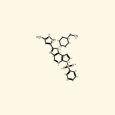 Cc1cc(-c2nc3cnc4c(ccn4S(=O)(=O)c4ccccc4)c3n2[C@H]2CC[C@H](CC#N)CC2)[nH]n1